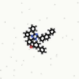 c1ccc(-c2ccc3ccc(-c4nc(-c5ccccc5-c5ccccc5)nc(-c5cccc6oc7cc(-c8ccccc8)ccc7c56)n4)cc3c2)cc1